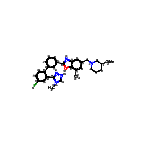 CO[C@H]1CCCN(Cc2cc(C(F)(F)F)c3oc(-c4cccc(-c5ccc(F)cc5-c5nncn5C)c4)nc3c2)C1